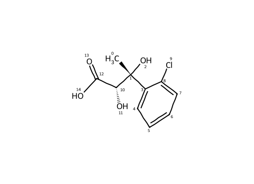 C[C@@](O)(c1ccccc1Cl)[C@H](O)C(=O)O